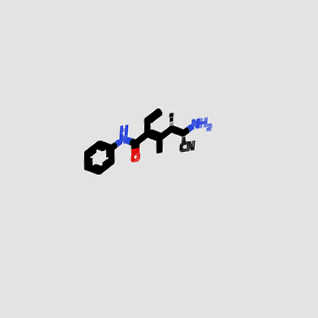 C=C/C(C(=O)Nc1ccccc1)=C(/C)[C@H](C)[C@H](N)C#N